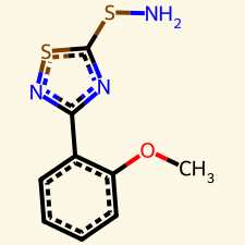 COc1ccccc1-c1nsc(SN)n1